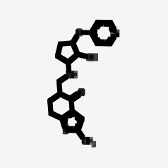 Cc1cc2c(s1)CCC(CNC1CCC(Oc3ccncc3)C1O)C2=O